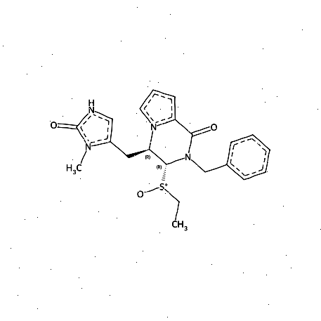 CC[S+]([O-])[C@@H]1[C@@H](Cc2c[nH]c(=O)n2C)n2cccc2C(=O)N1Cc1ccccc1